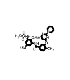 COc1c(NC(=O)c2ccc(C)c(Oc3ccnc(N4CCCCC4)n3)c2)cc(C(C)(C)C)cc1NS(C)(=O)=O